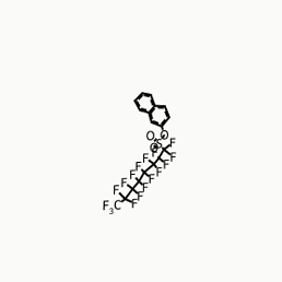 O=S(=O)(Oc1ccc2ccccc2c1)C(F)(F)C(F)(F)C(F)(F)C(F)(F)C(F)(F)C(F)(F)C(F)(F)C(F)(F)F